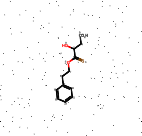 O=C(O)CC(O)C(=S)OCCc1ccccc1